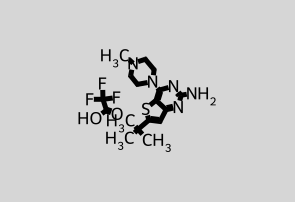 CN1CCN(c2nc(N)nc3cc(C(C)(C)C)sc23)CC1.O=C(O)C(F)(F)F